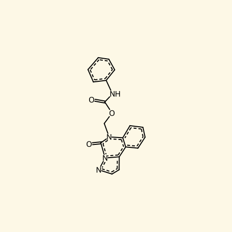 O=C(Nc1ccccc1)OCn1c(=O)n2nccc2c2ccccc21